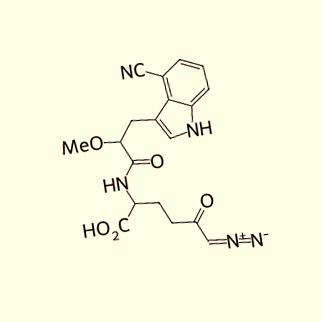 COC(Cc1c[nH]c2cccc(C#N)c12)C(=O)NC(CCC(=O)C=[N+]=[N-])C(=O)O